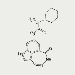 N[C@@H](C(=O)Nc1cc2c3c(c[nH]c3c1)C=NNC2=O)C1CCCCC1